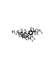 CCC(C)(CC)c1ccc(N(C(=S)NC(=S)N(C)C)C(C)(C)CC)cc1